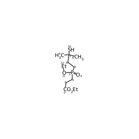 CCOC(=O)CCP(=O)(CCC(C)(C)S)OCC